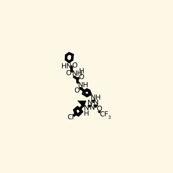 O=C(NCC(O)CNC(=O)c1ccc(Nc2nc(NC3(c4ccc(Cl)cc4)CC3)nc(OCC(F)(F)F)n2)cc1)C(=O)NC1CCCCC1